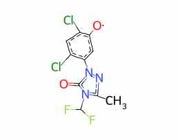 Cc1nn(-c2cc([O])c(Cl)cc2Cl)c(=O)n1C(F)F